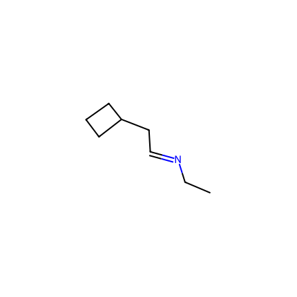 CC/N=C/CC1CCC1